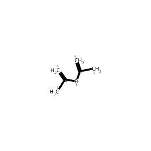 C=C(C)[B]C(=C)C